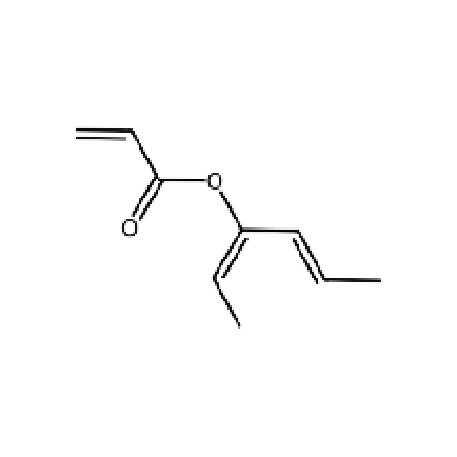 C=CC(=O)OC(C=CC)=CC